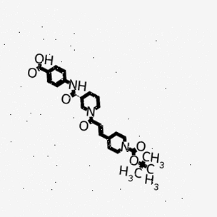 CC(C)(C)OC(=O)N1CCC(C=CC(=O)N2CCC[C@@H](C(=O)Nc3ccc(C(=O)O)cc3)C2)CC1